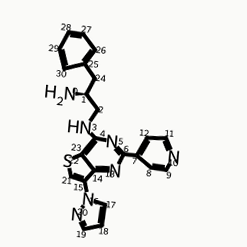 N[C@H](CNc1nc(-c2ccncc2)nc2c(-n3cccn3)csc12)Cc1ccccc1